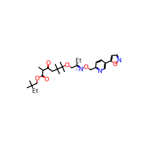 CC/C(COC(C)(C)C(C)(C)CC(=O)C(C)C(=O)OCC(C)(C)CC)=N\OCc1ccc(-c2ccno2)cn1